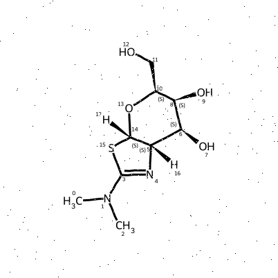 CN(C)C1=N[C@H]2[C@H](O)[C@H](O)[C@H](CO)O[C@H]2S1